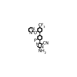 N#Cc1nc(N)cnc1-c1ccc(-c2ccc(C(F)(F)F)cc2Oc2ncccn2)cc1F